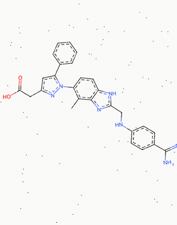 Cc1c(-n2nc(CC(=O)O)cc2-c2ccccc2)ccc2[nH]c(CNc3ccc(C(=N)N)cc3)nc12